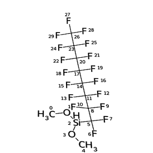 CO[SiH](OC)C(F)(F)C(F)(F)C(F)(F)C(F)(F)C(F)(F)C(F)(F)C(F)(F)C(F)(F)F